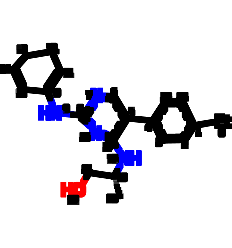 CCc1ccc(-c2cnc(NC3=C[CH]CC=C3)nc2N[C@H](C)CO)cc1